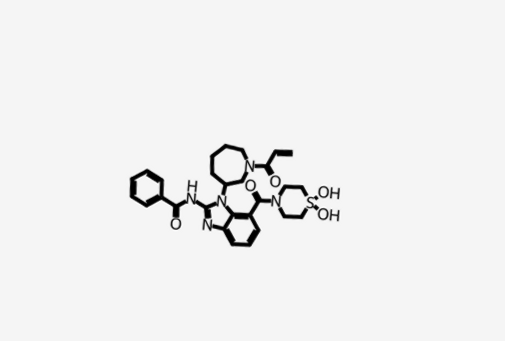 C=CC(=O)N1CCCCC(n2c(NC(=O)c3ccccc3)nc3cccc(C(=O)N4CCS(O)(O)CC4)c32)C1